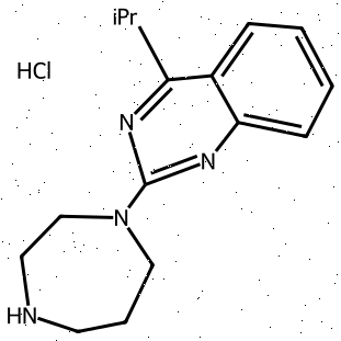 CC(C)c1nc(N2CCCNCC2)nc2ccccc12.Cl